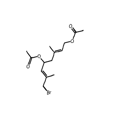 CC(=O)OC/C=C(\C)CC(/C=C(\C)CBr)OC(C)=O